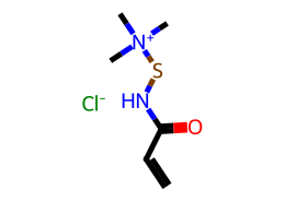 C=CC(=O)NS[N+](C)(C)C.[Cl-]